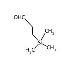 C[Si](C)(C)CC[C]=O